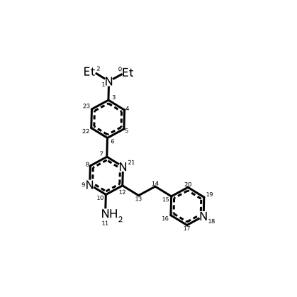 CCN(CC)c1ccc(-c2cnc(N)c(CCc3ccncc3)n2)cc1